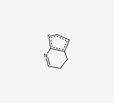 C1=Nc2sccc2CC1